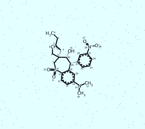 CCCC[C@@]1(CC)CS(=O)(=O)c2ccc(N(C)C)cc2[C@@H](c2cccc([N+](=O)[O-])c2)[C@H]1O